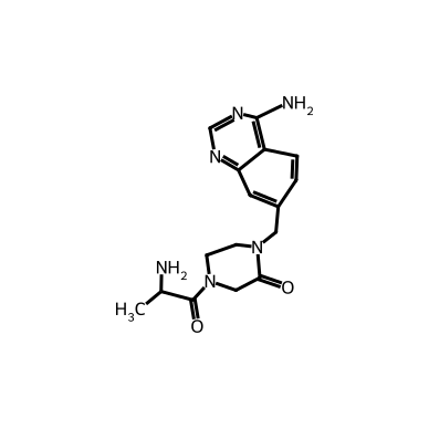 CC(N)C(=O)N1CCN(Cc2ccc3c(N)ncnc3c2)C(=O)C1